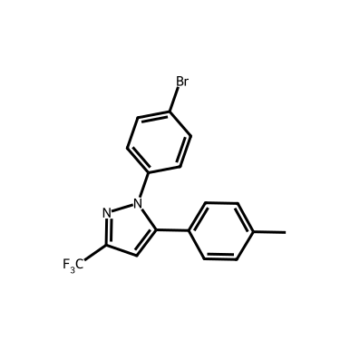 Cc1ccc(-c2cc(C(F)(F)F)nn2-c2ccc(Br)cc2)cc1